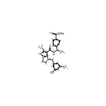 COC(=O)c1ccc(C(C)NC(=O)c2c(C(F)(F)F)nn3c2N(Cc2cc(Cl)cc(C(F)(F)F)c2)CC3)cc1